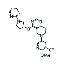 COc1ncc(N2CCc3ncnc(O[C@H]4CCN(c5ncccn5)C4)c3C2)cc1C(F)(F)F